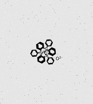 [O-2].c1ccc([Si](c2ccccc2)(c2ccccc2)[V+2]([Si](c2ccccc2)(c2ccccc2)c2ccccc2)[Si](c2ccccc2)(c2ccccc2)c2ccccc2)cc1